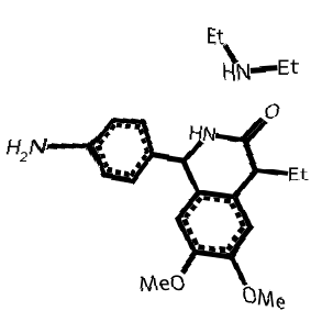 CCC1C(=O)NC(c2ccc(N)cc2)c2cc(OC)c(OC)cc21.CCNCC